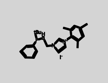 Cc1cc(C)c(-[n+]2ccn(CBP(c3ccccc3)C(C)(C)C)c2)c(C)c1.[I-]